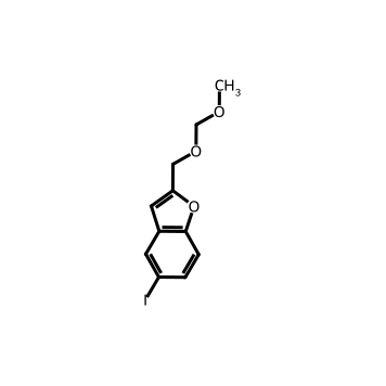 COCOCc1cc2cc(I)ccc2o1